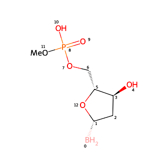 B[C@H]1C[C@H](O)[C@@H](COP(=O)(O)OC)O1